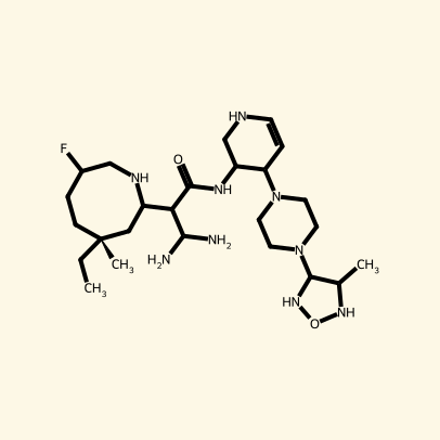 CC[C@]1(C)CCC(F)CNC(C(C(=O)NC2CNC=CC2N2CCN(C3NONC3C)CC2)C(N)N)C1